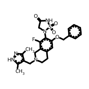 Cc1n[nH]c(C)c1CN1CCc2cc(OCc3ccccc3)c(N3CC(=O)NS3(=O)=O)c(F)c2C1